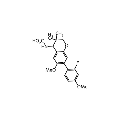 COc1ccc(-c2cc3c(cc2OC)C(NC(=O)O)C(C)(C)CO3)c(F)c1